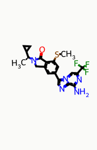 CSc1cc(-c2cnc3c(N)nc(C(F)(F)F)cn23)cc2c1C(=O)N([C@@H](C)C1CC1)C2